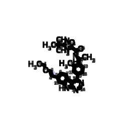 CCO/C=C/c1ccc2c(c1)[nH]c1ncnc(-c3ccc([C@@H](C)NC(=O)c4nc(C(C)(C)C)no4)c(C)c3)c12